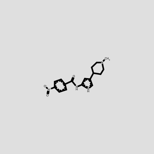 CN1CCC(c2c[nH]c(NC(=O)c3ccc([N+](=O)[O-])cc3)c2)CC1